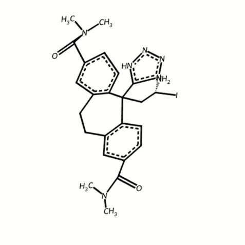 CN(C)C(=O)c1ccc2c(c1)CCc1cc(C(=O)N(C)C)ccc1C2(C[C@H](N)I)c1nnn[nH]1